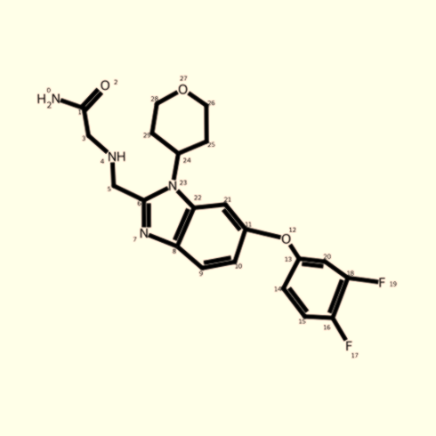 NC(=O)CNCc1nc2ccc(Oc3ccc(F)c(F)c3)cc2n1C1CCOCC1